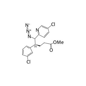 COC(=O)CC[C@@H](c1cccc(Cl)c1)C(N=[N+]=[N-])c1ccc(Cl)cn1